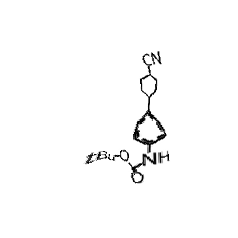 CC(C)(C)OC(=O)Nc1ccc(C2CCC(C#N)CC2)cc1